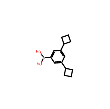 OB(O)c1cc(C2CCC2)cc(C2CCC2)c1